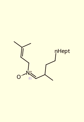 CCCCCCCCCC(C)/C=[N+](/[O-])CC=C(C)C